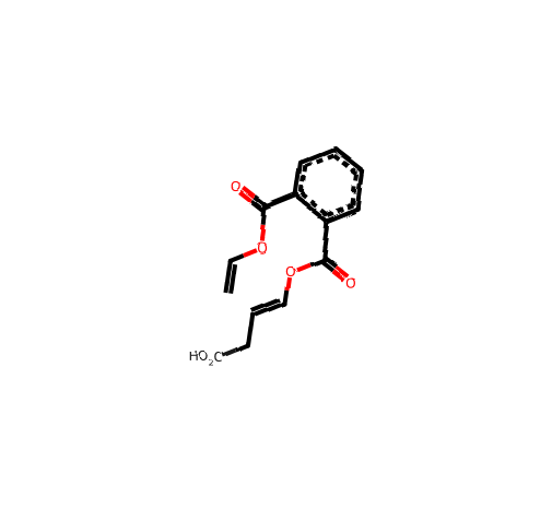 C=COC(=O)c1ccccc1C(=O)OC=CCC(=O)O